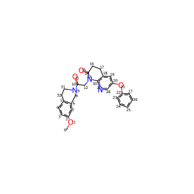 COc1ccc2c(c1)CN(C(=O)CN1C(=O)CCc3cc(Oc4ccccc4)cnc31)CC2